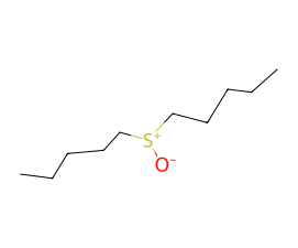 CCCCC[S+]([O-])CCCCC